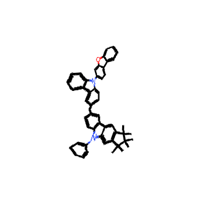 CC1(C)c2cc3c4cc(-c5ccc6c(c5)c5ccccc5n6-c5ccc6c(c5)oc5ccccc56)ccc4n(-c4ccccc4)c3cc2C(C)(C)C1(C)C